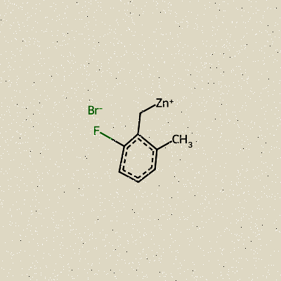 Cc1cccc(F)c1[CH2][Zn+].[Br-]